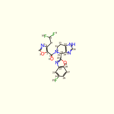 O=C(c1ocnc1CC(F)F)N1CCc2[nH]cnc2[C@H]1c1nc2cc(F)ccc2o1